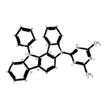 Cc1nc(C)nc(-n2c3ccccc3c3c2ccc2c4ccccc4n(-c4ccccc4)c23)n1